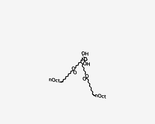 CCCCCCCC/C=C\CCCCCCCC(=O)OCCCCCC(O)C(CCCCOC(=O)CCCCCCC/C=C\CCCCCCCC)CN1CCC[C@H]1CO